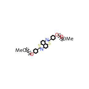 CO[Si](C)(C)C[Si](C)(C)Oc1ccc(C2=Nc3ccc4c5c(ccc(c35)S2)N=C(c2ccc(O[Si](C)(C)O[Si](C)(C)OC)cc2)S4)cc1